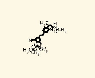 CC(=O)Nc1cc(C)c2ccc(CCc3cc(C#N)cc(CN(C)C(=O)OC(C)(C)C)c3)cc2n1